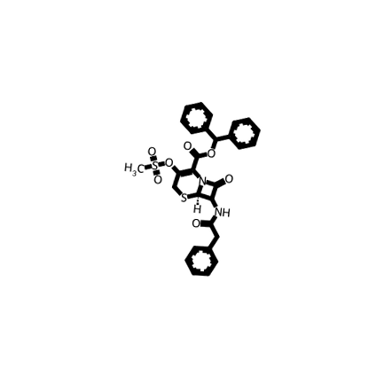 CS(=O)(=O)OC1=C(C(=O)OC(c2ccccc2)c2ccccc2)N2C(=O)C(NC(=O)Cc3ccccc3)[C@H]2SC1